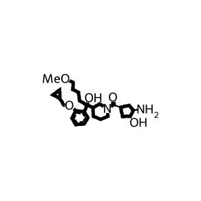 COCCCCC(O)(c1ccccc1OCC1CC1)C1CCCN(C(=O)[C@H]2C[C@@H](N)[C@H](O)C2)C1